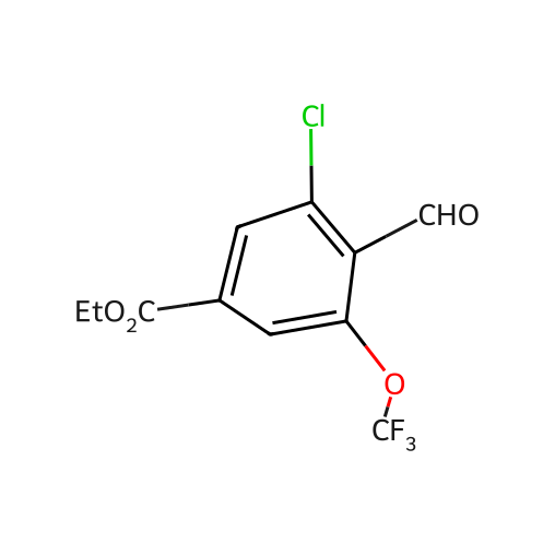 CCOC(=O)c1cc(Cl)c(C=O)c(OC(F)(F)F)c1